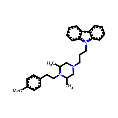 COc1ccc(CCN2C(C)CN(CCCn3c4ccccc4c4ccccc43)CC2C)cc1